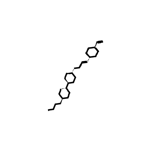 C=C[C@H]1CC[C@H](C=CCC[C@H]2CC[C@H]([C@H]3CC[C@H](CCCC)CC3)CC2)CC1